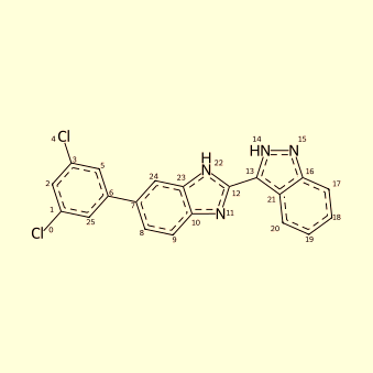 Clc1cc(Cl)cc(-c2ccc3nc(-c4[nH]nc5ccccc45)[nH]c3c2)c1